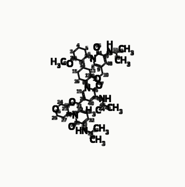 CO[C@@H]1CCC[C@H](n2cc(CO[C@@H]3CCCC[C@@H]3n3cc(CO[C@@H]4COCC[C@@H]4n4cccc(NC(C)C)c4=O)cc(NC(C)C)c3=O)cc(NC(C)C)c2=O)C1